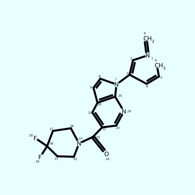 C=N/C=C(\C=C/C)n1ccc2cc(C(=O)N3CCC(F)(F)CC3)cnc21